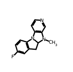 CN1c2cnccc2N2c3ccc(F)cc3CC12